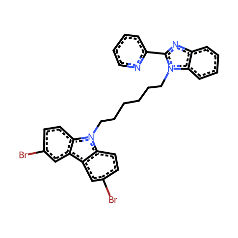 Brc1ccc2c(c1)c1cc(Br)ccc1n2CCCCCCn1c(-c2ccccn2)nc2ccccc21